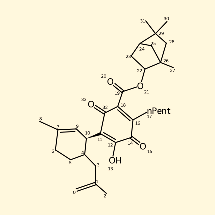 C=C(C)CC1CCC(C)=C[C@H]1C1=C(O)C(=O)C(CCCCC)=C(C(=O)OC2CC3CC2(C)CC3(C)C)C1=O